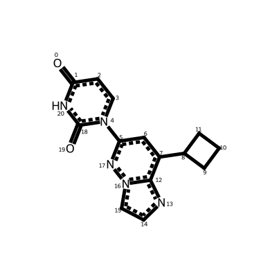 O=c1ccn(-c2cc(C3CCC3)c3nccn3n2)c(=O)[nH]1